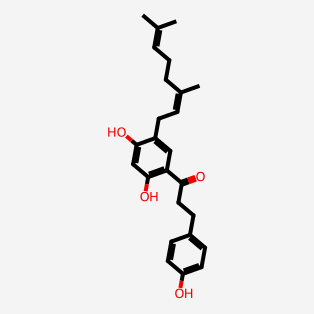 CC(C)=CCCC(C)=CCc1cc(C(=O)CCc2ccc(O)cc2)c(O)cc1O